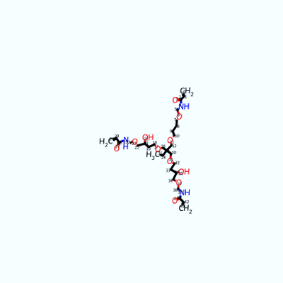 C=CC(=O)NCOCCCCOCC(CC)(COCCC(O)COCNC(=O)C=C)COCCC(O)COCNC(=O)C=C